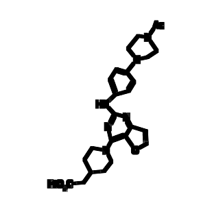 CCOC(=O)CC1CCN(c2nc(Nc3ccc(N4CCN(C(C)=O)CC4)cc3)nc3ccoc23)CC1